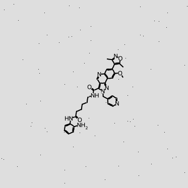 COc1cc2c(cc1-c1c(C)noc1C)ncc1c(C(=O)NCCCCCC(=O)Nc3ccccc3N)n(Cc3ccncc3)nc12